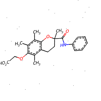 Cc1c(C)c2c(c(C)c1OCC(=O)O)CCC(C)(C(=O)Nc1ccccc1)O2